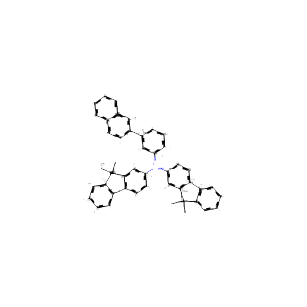 CC1(C)c2ccccc2-c2ccc(N(c3cccc(-c4ccc5ccccc5c4)c3)c3ccc4c(c3)C(C)(C)c3ccccc3-4)cc21